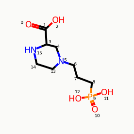 O=C(O)C1CN(CCCP(=O)(O)O)CCN1